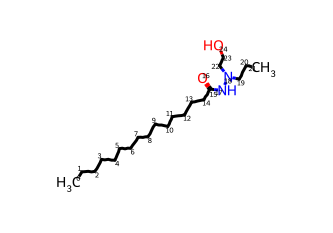 CCCCCCCCCCCCCCCC(=O)NN(CCC)CCO